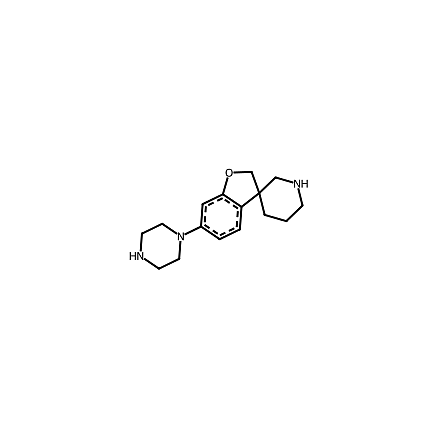 c1cc2c(cc1N1CCNCC1)OCC21CCCNC1